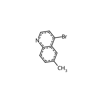 Cc1ccc2nccc(Br)c2c1